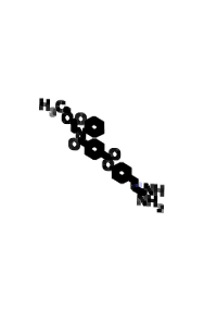 CCOC(=O)CN(C(=O)c1ccc(C(=O)Oc2ccc(/C=C/C(=N)N)cc2)cc1)c1ccccc1